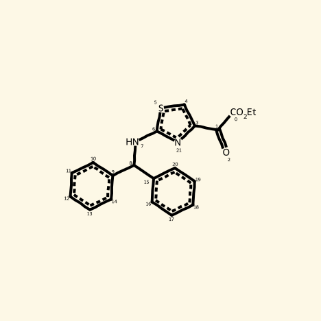 CCOC(=O)C(=O)c1csc(NC(c2ccccc2)c2ccccc2)n1